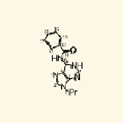 CC(C)n1cnc2c1N=CNC2NC(=O)c1ccccc1